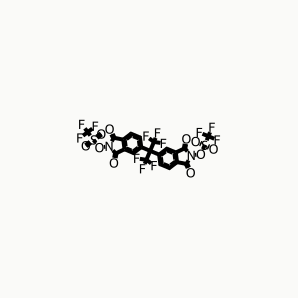 O=C1c2ccc(C(c3ccc4c(c3)C(=O)N(OS(=O)(=O)C(F)(F)F)C4=O)(C(F)(F)F)C(F)(F)F)cc2C(=O)N1OS(=O)(=O)C(F)(F)F